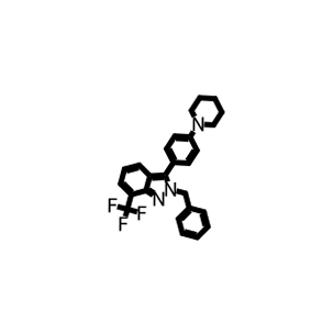 FC(F)(F)c1cccc2c(-c3ccc(N4CCCCC4)cc3)n(Cc3ccccc3)nc12